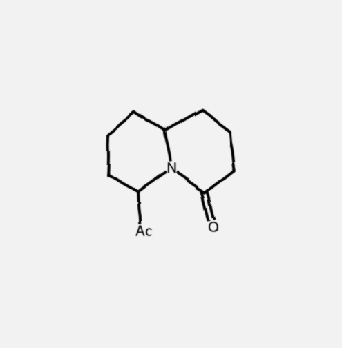 CC(=O)C1CCCC2CCCC(=O)N21